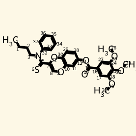 CCCCN(C(=S)C1=COc2cc(OC(=O)c3cc(OC)c(OC)c(OC)c3)ccc2O1)c1ccccc1